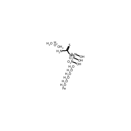 NC(N)=S.O.O.O.O.O.O.O.O.O.O=[N+]([O-])O.O=[N+]([O-])O.O=[N+]([O-])O.[Fe]